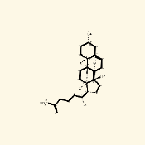 CC(CCC[C@@H](C)[C@H]1CC[C@H]2[C@@H]3CC=C4C[C@@H](O)CC[C@]4(C)[C@H]3CC[C@]12C)C(=O)O